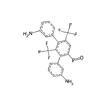 Nc1cccc(-c2c(P=O)cc(C(F)(F)F)c(-c3cccc(N)c3)c2C(F)(F)F)c1